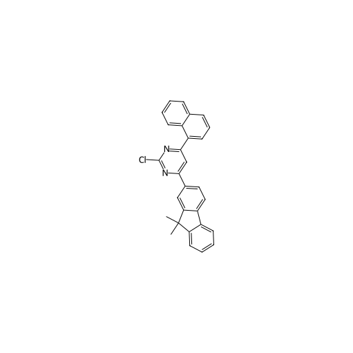 CC1(C)c2ccccc2-c2ccc(-c3cc(-c4cccc5ccccc45)nc(Cl)n3)cc21